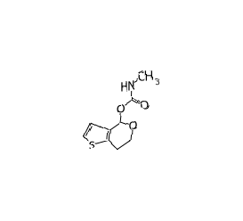 CNC(=O)OC1OCCc2sccc21